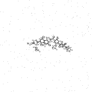 CCOc1cc(C(=O)N2CCc3c(c(=O)oc4c(C)c(N5CCN(C)[C@@H](COC)C5)cc(Cl)c34)C2)c(F)cc1C(=O)NS(=O)(=O)N1CC2CCC(C1)O2